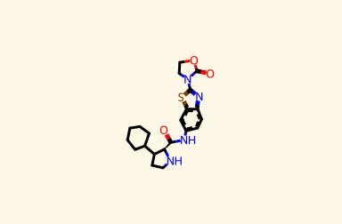 O=C(Nc1ccc2nc(N3CCOC3=O)sc2c1)[C@H]1NCCC1C1CCCCC1